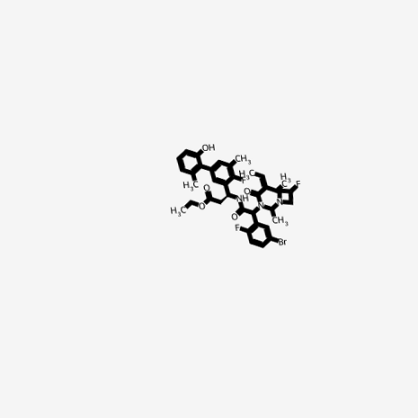 C/C=C(/CC)C(=O)N(C(C(=O)N[C@@H](CC(=O)OCC)c1cc(-c2c(C)cccc2O)cc(C)c1F)c1cc(Br)ccc1F)C(C)N1CC(F)C1